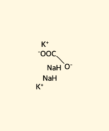 O=C([O-])[O-].[K+].[K+].[NaH].[NaH]